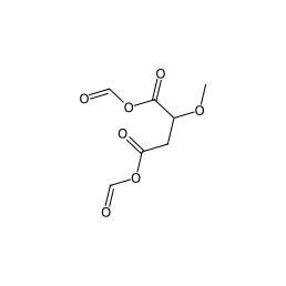 COC(CC(=O)OC=O)C(=O)OC=O